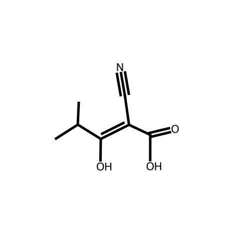 CC(C)/C(O)=C(\C#N)C(=O)O